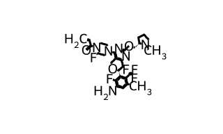 C=CC(=O)N1CCN(c2nc(OC[C@@H]3CCCN3C)nc3c2CO[C@@H](c2c(F)c(N)cc(C)c2C(F)(F)F)C3)C[C@@H]1F